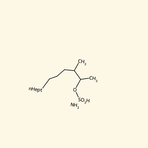 CCCCCCCCCCC(C)C(C)OS(=O)(=O)O.N